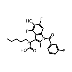 CCCCC[C@H](C(=O)O)c1c(C)n(C(=O)c2cccc(F)c2)c2cc(F)c(O)c(F)c12